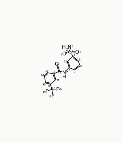 NS(=O)(=O)c1cccc(NC(=O)c2cccc(C(F)(F)F)c2)c1